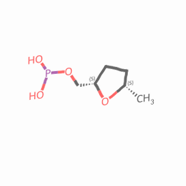 C[C@H]1CC[C@@H](COP(O)O)O1